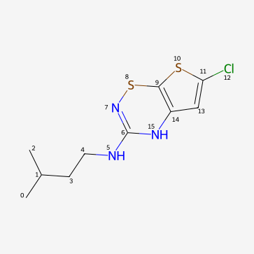 CC(C)CCNC1=NSc2sc(Cl)cc2N1